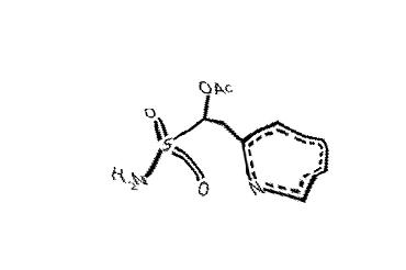 CC(=O)OC(c1ccccn1)S(N)(=O)=O